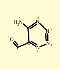 Nc1nnnnc1C=O